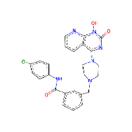 O=C(Nc1ccc(Cl)cc1)c1cccc(CN2CCN(c3nc(=O)n(O)c4ncccc34)CC2)c1